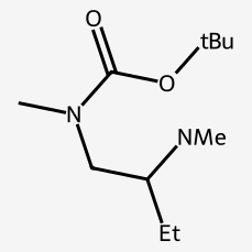 CCC(CN(C)C(=O)OC(C)(C)C)NC